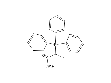 COC(=O)C(C)[P](c1ccccc1)(c1ccccc1)c1ccccc1